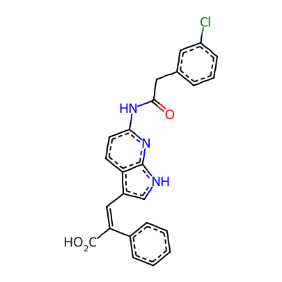 O=C(Cc1cccc(Cl)c1)Nc1ccc2c(/C=C(/C(=O)O)c3ccccc3)c[nH]c2n1